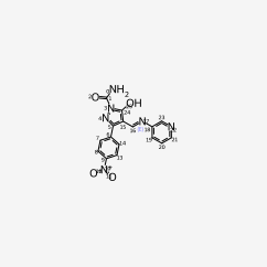 NC(=O)n1nc(-c2ccc([N+](=O)[O-])cc2)c(/C=N/c2cccnc2)c1O